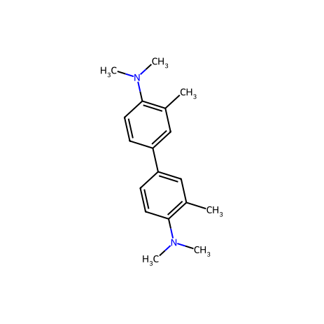 Cc1cc(-c2ccc(N(C)C)c(C)c2)ccc1N(C)C